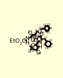 CCOC(=O)CNC(=O)C(=O)C(COCc1ccccc1)NC(=O)[C@@H](CC1CCCCC1)NC(=O)C1=CC(=O)CC(C)(C)O1